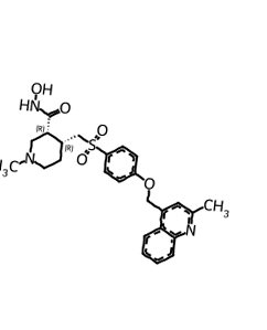 Cc1cc(COc2ccc(S(=O)(=O)C[C@@H]3CCN(C)C[C@@H]3C(=O)NO)cc2)c2ccccc2n1